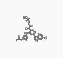 CC(C)(O)CCNC(=O)c1cnc(-c2cnn3cc(Cl)cnc23)cc1Nc1cnn(CC(F)F)c1